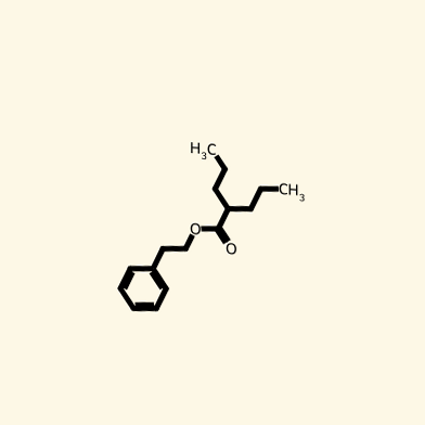 CCCC(CCC)C(=O)OCCc1ccccc1